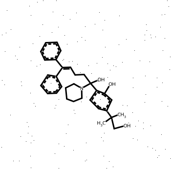 CC(C)(CO)c1ccc(C(O)(CCC=C(c2ccccc2)c2ccccc2)N2CCCCC2)c(O)c1